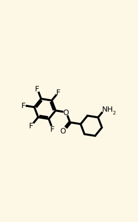 NC1CCCC(C(=O)Oc2c(F)c(F)c(F)c(F)c2F)C1